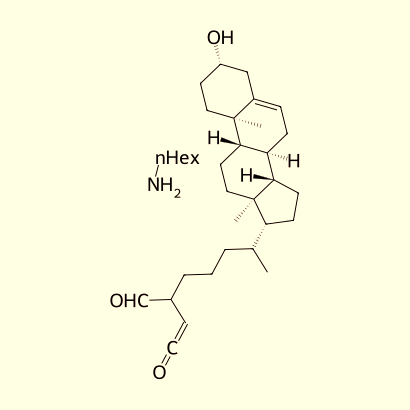 CC(CCCC(C=O)C=C=O)[C@H]1CC[C@H]2[C@@H]3CC=C4C[C@@H](O)CC[C@]4(C)[C@H]3CC[C@]12C.CCCCCCN